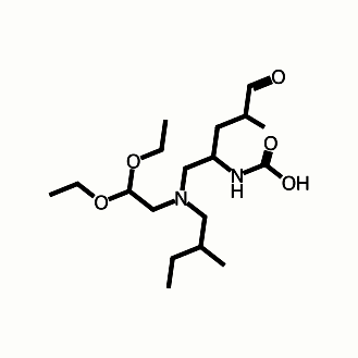 CCOC(CN(CC(C)CC)CC(CC(C)C=O)NC(=O)O)OCC